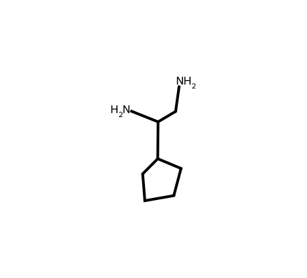 NCC(N)C1CCCC1